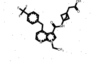 CCn1cc(C(=O)NC23CC(CC(=O)O)(C2)C3)c2c(Cc3ccc(C(F)(F)F)cc3)ccnc21